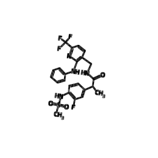 CC(C(=O)NCc1ccc(C(F)(F)F)nc1Nc1ccccc1)c1ccc(NS(C)(=O)=O)c(F)c1